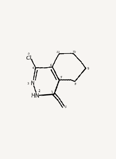 C=C1NN=C(Cl)C2=C1CCCC2